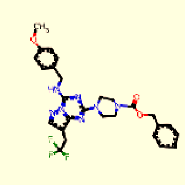 COc1ccc(CNc2nc(N3CCN(C(=O)OCc4ccccc4)CC3)nc3c(CC(F)(F)F)cnn23)cc1